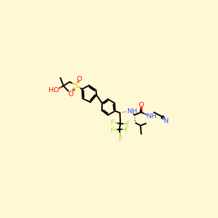 CC(C)C[C@H](N[C@@H](c1ccc(-c2ccc(S(=O)(=O)CC(C)(C)O)cc2)cc1)C(F)(F)C(F)(F)F)C(=O)NCC#N